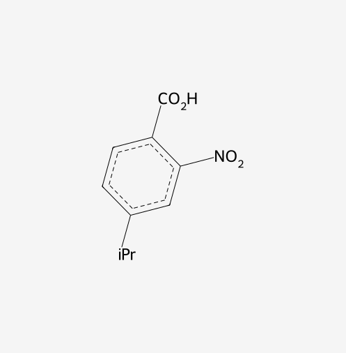 CC(C)c1ccc(C(=O)O)c([N+](=O)[O-])c1